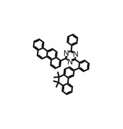 CC1(C)c2ccccc2-c2cc(-c3ccccc3-c3nc(-c4ccccc4)nc(-c4cccc5c4ccc4c6ccccc6ccc54)n3)ccc2C1(C)C